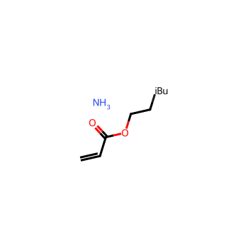 C=CC(=O)OCCC(C)CC.N